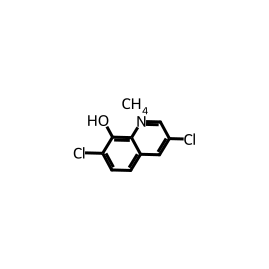 C.Oc1c(Cl)ccc2cc(Cl)cnc12